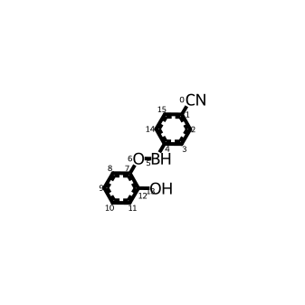 N#Cc1ccc(BOc2ccccc2O)cc1